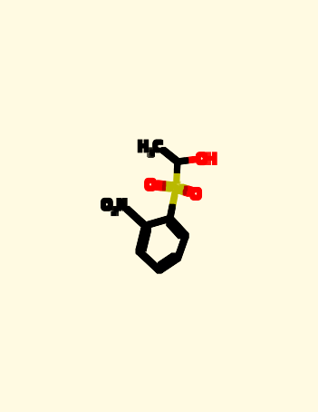 CC(O)S(=O)(=O)c1ccccc1[N+](=O)[O-]